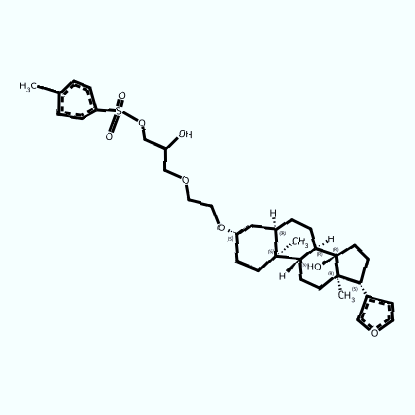 Cc1ccc(S(=O)(=O)OCC(O)COCCO[C@H]2CC[C@@]3(C)[C@H](CC[C@@H]4[C@@H]3CC[C@]3(C)[C@@H](c5ccoc5)CC[C@@]43O)C2)cc1